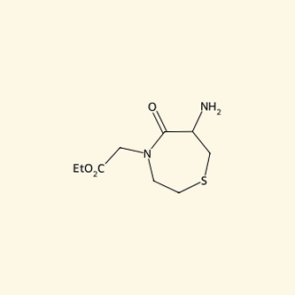 CCOC(=O)CN1CCSCC(N)C1=O